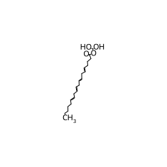 CCCCCC=CCC=CCC=CCC=CCCCC(=O)OC(O)O